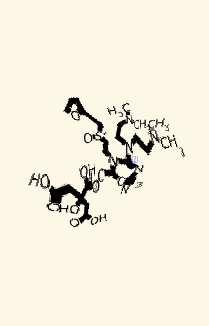 CC(C)N(CC[S+]([O-])Cc1ccco1)/C(=N\C#N)N(CCN(C)C)CCN(C)C.O=C(O)CC(O)(CC(=O)O)C(=O)O